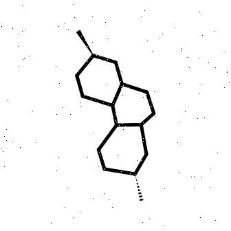 C[C@@H]1CCC2C(CCC3C[C@H](C)CCC32)C1